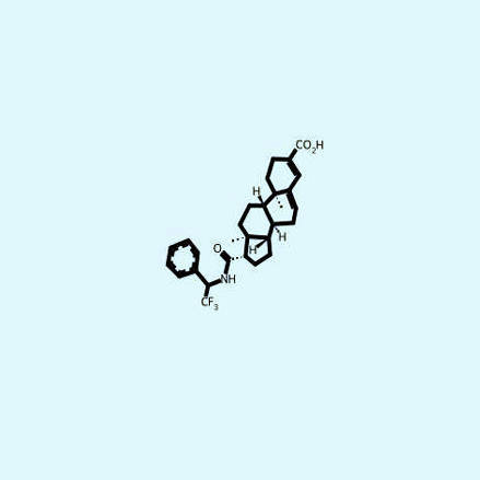 C[C@]12CC[C@H]3[C@@H](CC=C4C=C(C(=O)O)CC[C@@]43C)[C@@H]1CC[C@@H]2C(=O)NC(c1ccccc1)C(F)(F)F